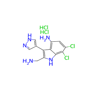 Cl.Cl.NCc1[nH]c2c(Cl)c(Cl)cc(N)c2c1-c1cn[nH]c1